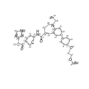 CCCCOCCOc1ccc(-c2ccc3c(c2)C=C(C(=O)Nc2ccc([S+]([O-])C(C)c4nc[nH]n4)cc2)CCN3CC(C)C)cc1